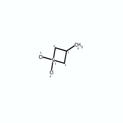 CC1C[Si](Cl)(Cl)C1